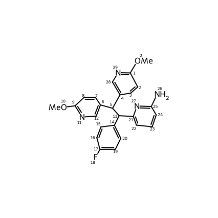 COc1ccc(C(c2ccc(OC)nc2)C(c2ccc(F)cc2)c2cccc(N)n2)cn1